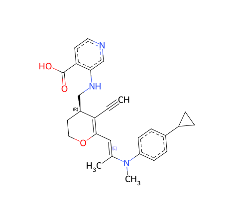 C#CC1=C(/C=C(\C)N(C)c2ccc(C3CC3)cc2)OCC[C@H]1CNc1cnccc1C(=O)O